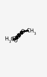 CCCCCCOc1ccc(C2=CCN(c3ccc(C(=O)OCC)cc3)CC2)cc1